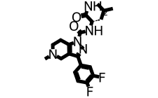 CC(C)C[C@H](NC(=O)n1nc(-c2ccc(F)c(F)c2)c2c1CCN(C)C2)C(N)=O